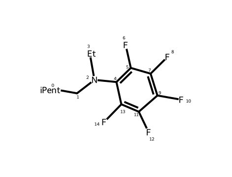 CCCC(C)CN(CC)c1c(F)c(F)c(F)c(F)c1F